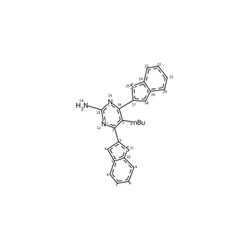 CCCCc1c(-c2cc3ccccc3s2)nc(N)nc1-c1cc2ccccc2s1